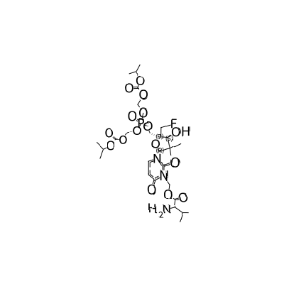 CC(C)OC(=O)OCOP(=O)(OCOC(=O)OC(C)C)OC[C@@]1(CF)O[C@@H](n2ccc(=O)n(COC(=O)C(N)C(C)C)c2=O)C(C)(C)[C@@H]1O